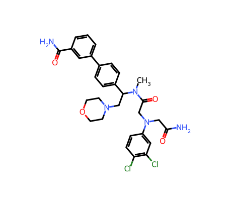 CN(C(=O)CN(CC(N)=O)c1ccc(Cl)c(Cl)c1)C(CN1CCOCC1)c1ccc(-c2cccc(C(N)=O)c2)cc1